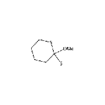 COC1([S])CCCCS1